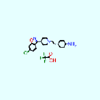 N[C@H]1CC[C@H](CCN2CCC(c3noc4cc(Cl)ccc34)CC2)CC1.O=C(O)C(F)(F)F